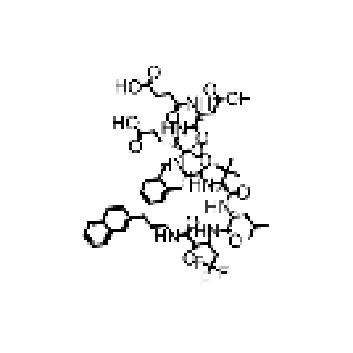 Cc1ccccc1C[C@H](NC(=O)[C@H](CCC(=O)O)NC(=O)[C@H](CC(=O)O)NC(=O)CCC(=O)O)C(=O)N[C@H](C(=O)N[C@@H](CC(C)C)C(=O)NC(CC(F)(F)F)C(=O)C(=O)NCCCc1ccc2ccccc2c1)C(C)(C)C